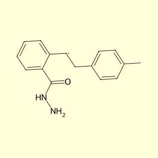 Cc1ccc(C[CH]c2ccccc2C(=O)NN)cc1